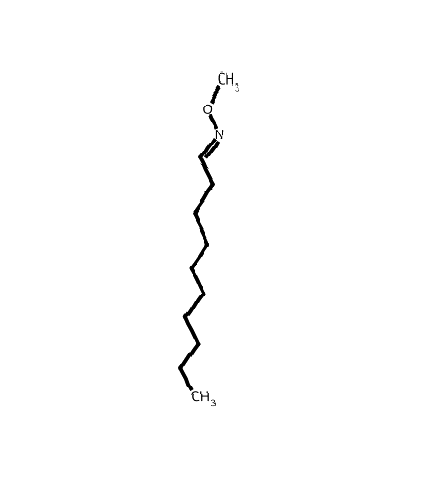 CCCCCCCCCC=NOC